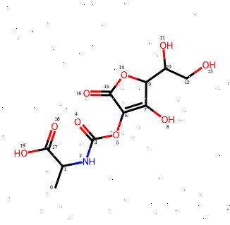 CC(NC(=O)OC1=C(O)C(C(O)CO)OC1=O)C(=O)O